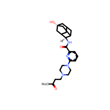 COC(=O)CCN1CCN(c2cccc(C(=O)N[C@H]3C4CC5CC3C[C@](O)(C5)C4)n2)CC1